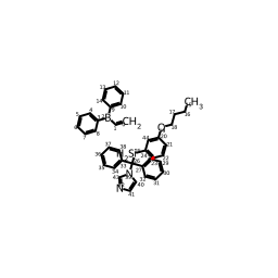 C=CB(c1ccccc1)c1ccccc1.CCCCOc1cccc([SiH2]C(c2ccccc2)(c2ccccc2)n2ccnc2)c1